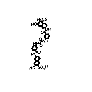 O=C(Nc1cccc(C(=O)Nc2ccc3cc(S(=O)(=O)O)c(O)cc3c2)c1)C(=O)Nc1cccc(C(=O)Nc2ccc3cc(S(=O)(=O)O)c(O)cc3c2)c1